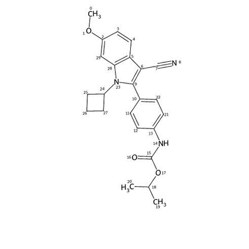 COc1ccc2c(C#N)c(-c3ccc(NC(=O)OC(C)C)cc3)n(C3CCC3)c2c1